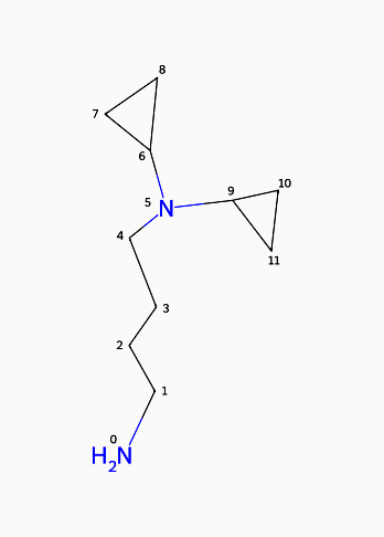 NCCCCN(C1CC1)C1CC1